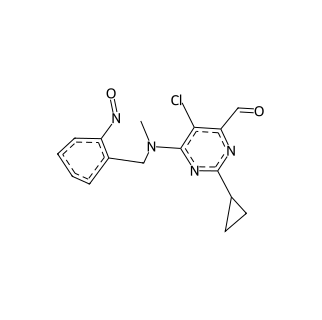 CN(Cc1ccccc1N=O)c1nc(C2CC2)nc(C=O)c1Cl